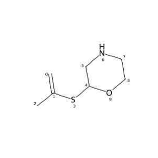 C=C(C)SC1CNCCO1